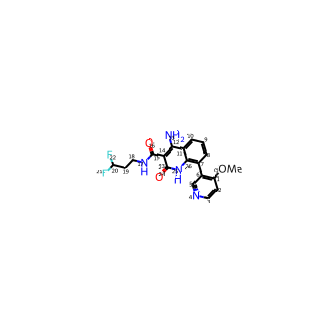 COc1ccncc1-c1cccc2c(N)c(C(=O)NCCC(F)F)c(=O)[nH]c12